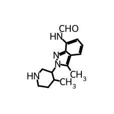 Cc1c2cccc(NC=O)c2nn1C1CNCCC1C